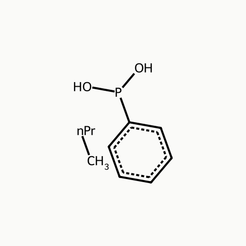 CCCC.OP(O)c1ccccc1